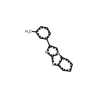 Cc1cccc(-c2cn3c(n2)sc2ccccc23)c1